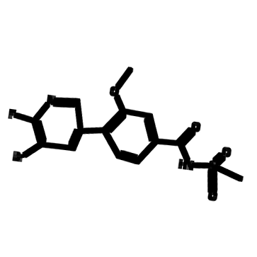 COc1cc(C(=O)NS(C)(=O)=O)ccc1-c1cnc(F)c(Br)c1